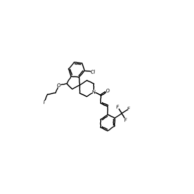 O=C(/C=C/c1ccccc1C(F)(F)F)N1CCC2(CC1)CC(OCCI)c1cccc(Cl)c12